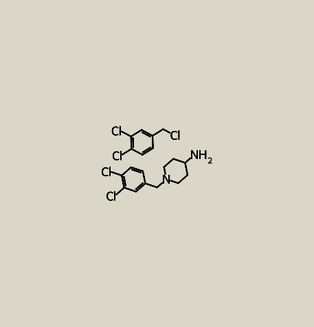 ClCc1ccc(Cl)c(Cl)c1.NC1CCN(Cc2ccc(Cl)c(Cl)c2)CC1